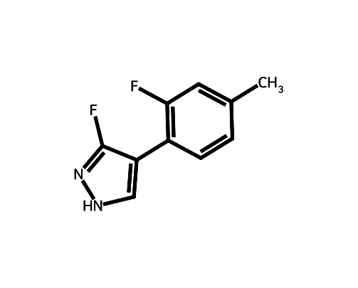 Cc1ccc(-c2c[nH]nc2F)c(F)c1